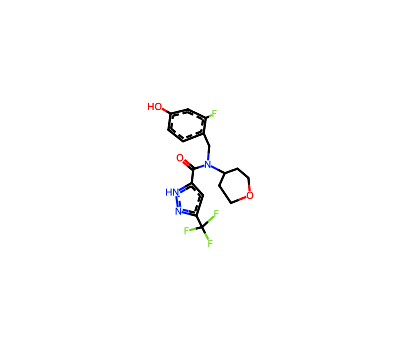 O=C(c1cc(C(F)(F)F)n[nH]1)N(Cc1ccc(O)cc1F)C1CCOCC1